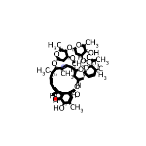 CO[C@H]1C[C@H](O[C@H]2[C@H](C)O[C@@H](O[C@@H]3/C(C)=C/C[C@@H]4C[C@@H](C[C@]5(C=C[C@H](C)[C@@H](C(C)C)O5)O4)OC(=O)[C@@H]4C=C(C)[C@@H](O)[C@H]5OCC(=CC=C[C@@H]3C)[C@]54O)C[C@@H]2OC)O[C@@H](C)[C@@H]1O